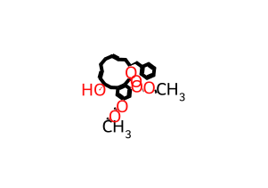 CCOCOc1cc2c(c(OCOCC)c1)C(=O)O[C@H](Cc1ccccc1)C/C=C/CC/C=C/[C@@H](O)C2